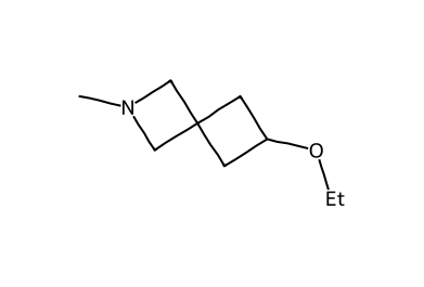 CCOC1CC2(C1)CN(C)C2